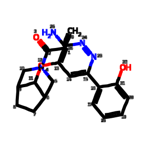 C=CC(=O)N1CC2CCC(C1)C2Oc1cc(-c2ccccc2O)nnc1N